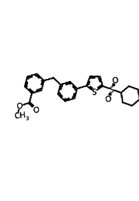 COC(=O)c1cccc(Cc2cccc(-c3ccc(S(=O)(=O)C4CCCCC4)s3)c2)c1